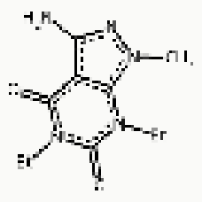 CCn1c(=O)c2c(N)nn(C)c2n(CC)c1=O